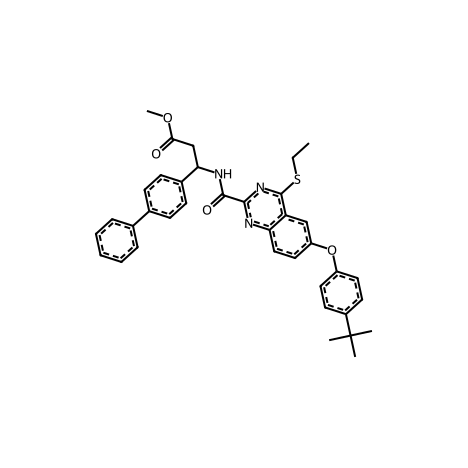 CCSc1nc(C(=O)NC(CC(=O)OC)c2ccc(-c3ccccc3)cc2)nc2ccc(Oc3ccc(C(C)(C)C)cc3)cc12